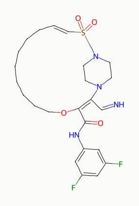 N=C/C1=C(\C(=O)Nc2cc(F)cc(F)c2)OCCCCCCCC/C=C/S(=O)(=O)N2CCN1CC2